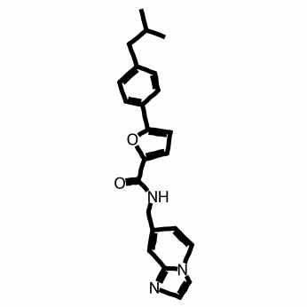 CC(C)Cc1ccc(-c2ccc(C(=O)NCc3ccn4ccnc4c3)o2)cc1